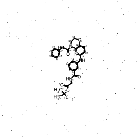 CC(C)(C)OC(=O)CNC(=O)c1cccc(Nc2ccc3c(n2)N(C(=O)Nc2ccccc2)CCO3)c1